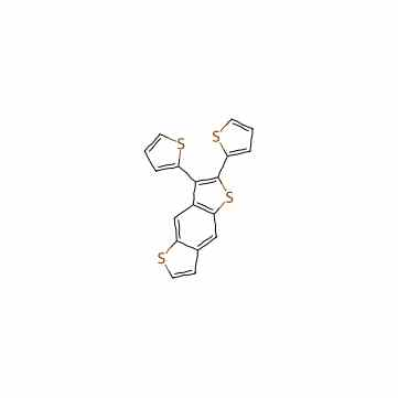 c1csc(-c2sc3cc4ccsc4cc3c2-c2cccs2)c1